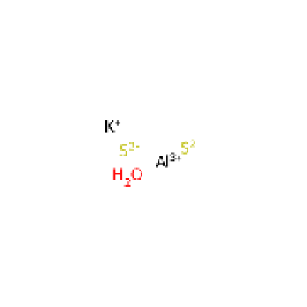 O.[Al+3].[K+].[S-2].[S-2]